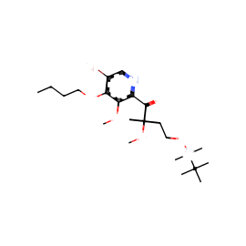 CCCCOc1c(Br)cnc(C(=O)C(C)(CCO[Si](C)(C)C(C)(C)C)OC)c1OC